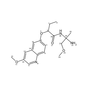 CCC(Oc1ccc2ncc(OC)cc2c1)C(=O)NC(C)(N)COC